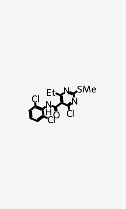 CCc1nc(SC)nc(Cl)c1C(=O)Nc1c(Cl)cccc1Cl